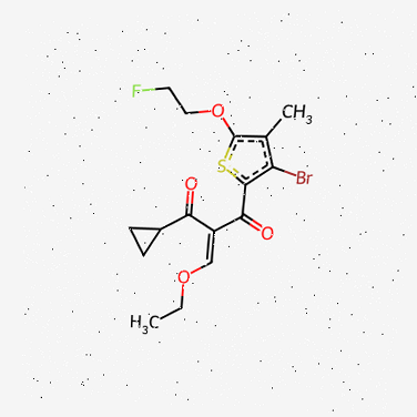 CCOC=C(C(=O)c1sc(OCCF)c(C)c1Br)C(=O)C1CC1